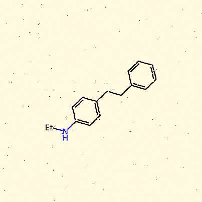 CCNc1ccc(CCc2ccccc2)cc1